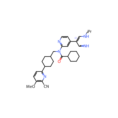 COc1ccc(C2CCC(CN(C(=O)C3CCCCC3)c3cc(/C(C=N)=C/NC(C)C)ccn3)CC2)nc1C#N